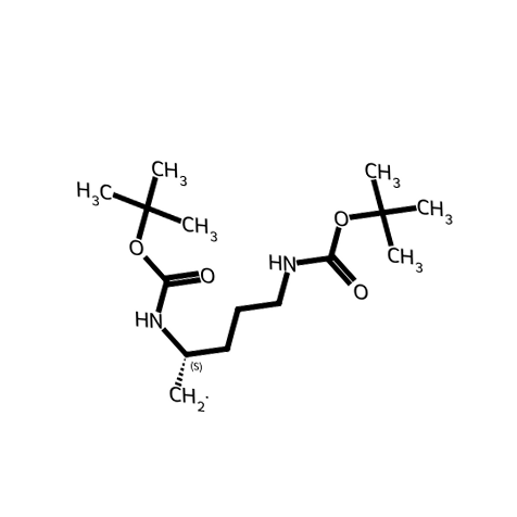 [CH2][C@@H](CCCNC(=O)OC(C)(C)C)NC(=O)OC(C)(C)C